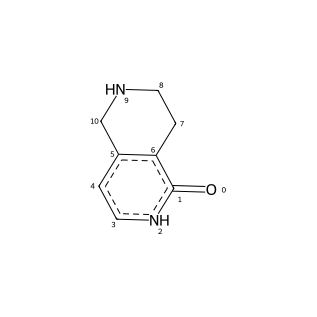 O=c1[nH]ccc2c1CCNC2